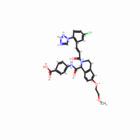 COCCOc1ccc2c(c1)CCN(C(=O)C=Cc1cc(Cl)ccc1-n1cnnn1)C2C(=O)Nc1ccc(C(=O)O)cc1